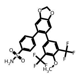 COc1c(C(F)(F)F)cc(-c2cc3c(cc2-c2ccc(S(N)(=O)=O)cc2)OCO3)cc1C(F)(F)F